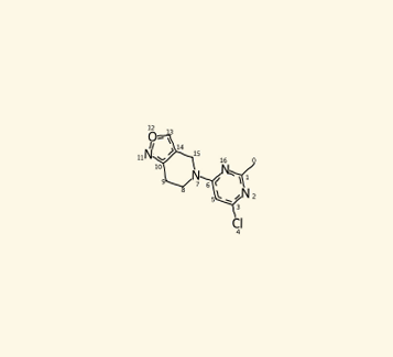 Cc1nc(Cl)cc(N2CCc3nocc3C2)n1